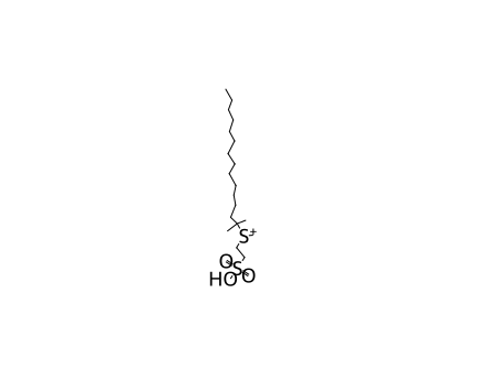 CCCCCCCCCCCCCC(C)(C)[S+](C)CCS(=O)(=O)O